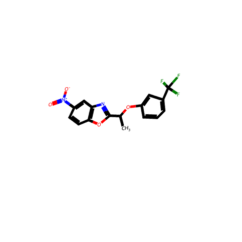 CC(Oc1cccc(C(F)(F)F)c1)c1nc2cc([N+](=O)[O-])ccc2o1